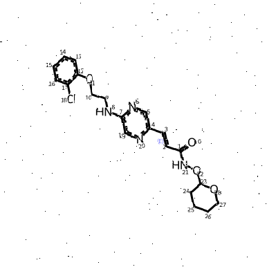 O=C(/C=C/c1cnc(NCCOc2ccccc2Cl)cn1)NOC1CCCCO1